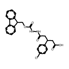 O=C(O)CC(CC(=O)NNC(=O)OCC1c2ccccc2-c2ccccc21)c1ccc(Cl)cc1